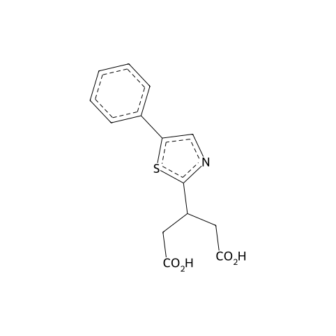 O=C(O)CC(CC(=O)O)c1ncc(-c2ccccc2)s1